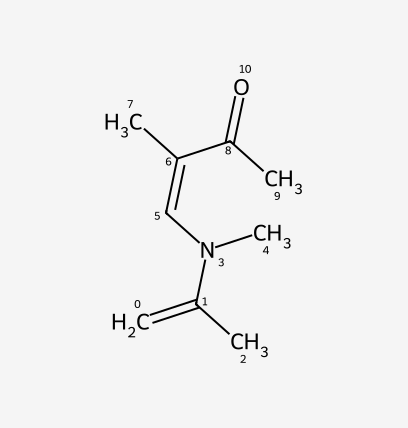 C=C(C)N(C)/C=C(/C)C(C)=O